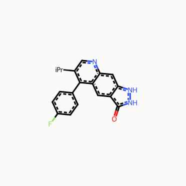 CC(C)c1cnc2cc3[nH][nH]c(=O)c3cc2c1-c1ccc(F)cc1